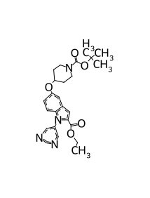 CCOC(=O)c1cc2cc(OC3CCN(C(=O)OC(C)(C)C)CC3)ccc2n1-c1cncnc1